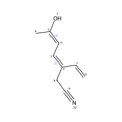 C=C/C(=C\C=C(/C)O)CC#N